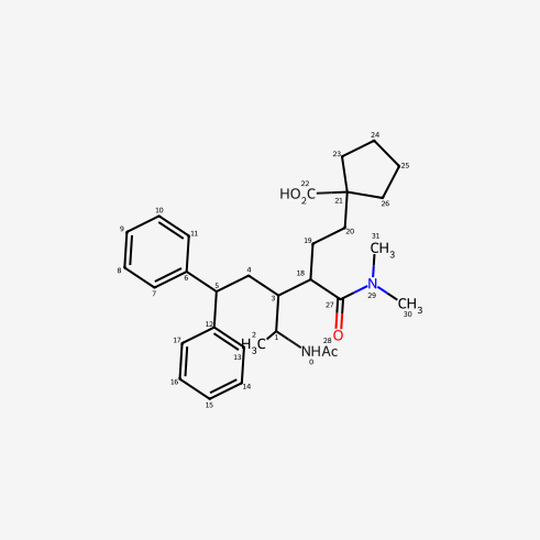 CC(=O)NC(C)C(CC(c1ccccc1)c1ccccc1)C(CCC1(C(=O)O)CCCC1)C(=O)N(C)C